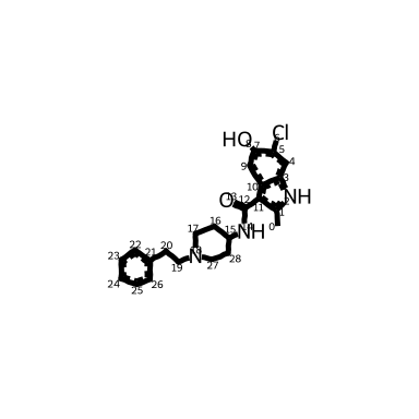 Cc1[nH]c2cc(Cl)c(O)cc2c1C(=O)NC1CCN(CCc2ccccc2)CC1